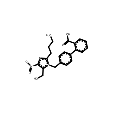 CCCCc1nc([N+](=O)[O-])c(CO)n1Cc1ccc(-c2ccccc2C(=O)O)cc1